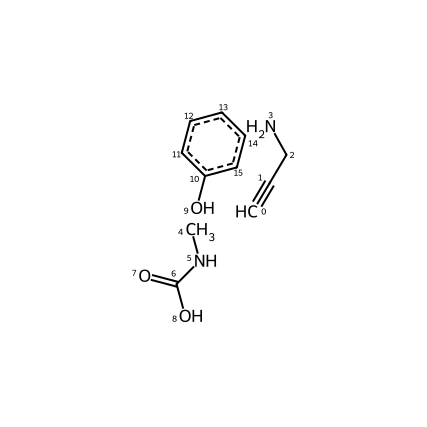 C#CCN.CNC(=O)O.Oc1ccccc1